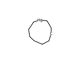 C1CCC[CH2][Hg][CH2]CCC1